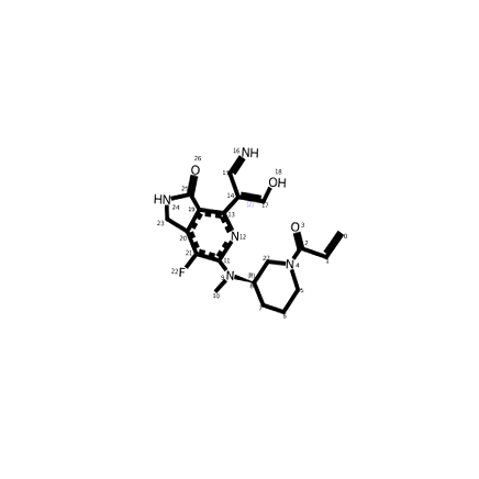 C=CC(=O)N1CCC[C@@H](N(C)c2nc(/C(C=N)=C/O)c3c(c2F)CNC3=O)C1